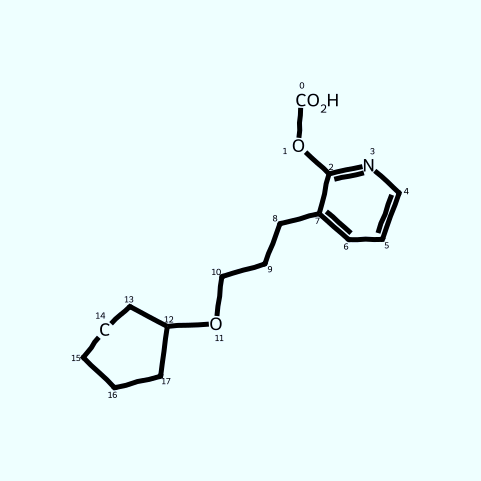 O=C(O)Oc1ncccc1CCCOC1CCCCC1